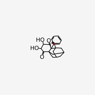 C#CC12CC3CC(C1)CC1(C3)C(=O)C(O)C(O)C(=O)C21c1ccccc1